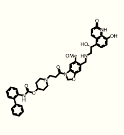 COc1cc2c(cc1CNC[C@H](O)c1ccc(O)c3[nH]c(=O)ccc13)OCN2C(=O)CCN1CCC(OC(=O)Nc2ccccc2-c2ccccc2)CC1